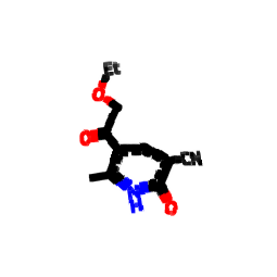 CCOCC(=O)c1cc(C#N)c(=O)[nH]c1C